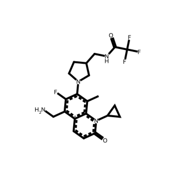 Cc1c(N2CCC(CNC(=O)C(F)(F)F)C2)c(F)c(CN)c2ccc(=O)n(C3CC3)c12